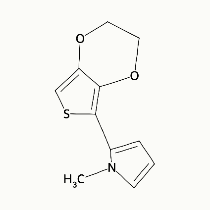 Cn1cccc1-c1scc2c1OCCO2